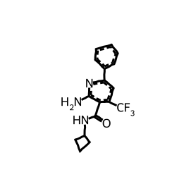 Nc1nc(-c2ccccc2)cc(C(F)(F)F)c1C(=O)NC1CCC1